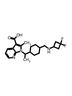 Cc1c(C(=O)O)c2cccnc2n1C(C)C1CCC(CNC2CC(F)(F)C2)CC1